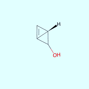 OC1C2=C[C@@H]21